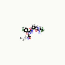 CCc1nocc1C(=O)N[C@H](c1nc2cc(CN3C[C@@H](C(F)(F)F)NC3=O)ccc2o1)C1CCC(F)(F)CC1